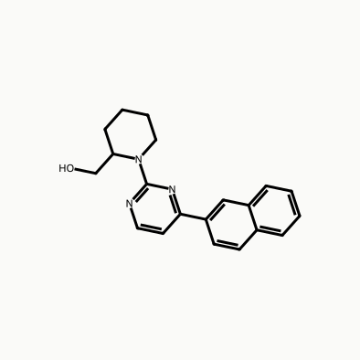 OCC1CCCCN1c1nccc(-c2ccc3ccccc3c2)n1